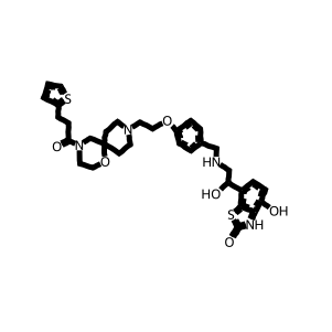 O=C(CCc1cccs1)N1CCOC2(CCN(CCOc3ccc(CNCC(O)c4ccc(O)c5[nH]c(=O)sc45)cc3)CC2)C1